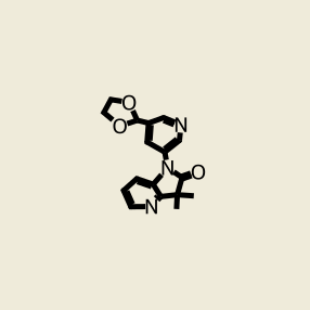 CC1(C)C(=O)N(c2cncc(C3OCCO3)c2)c2cccnc21